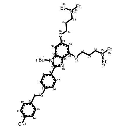 CCCCn1c(-c2ccc(SCc3ccc(Cl)cc3)cc2)nc2c(OCCCN(CC)CC)cc(OCCCN(CC)CC)cc21